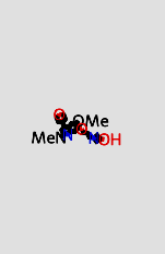 CNc1cc(C2CCOCC2)c2cc(OC)c(OCCCN3CC(O)C3)cc2n1